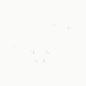 [2H]C([2H])([2H])n1nnn(-c2cccc(Br)c2CBr)c1=O